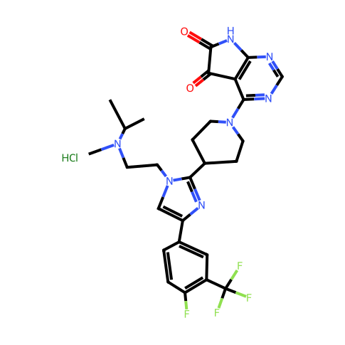 CC(C)N(C)CCn1cc(-c2ccc(F)c(C(F)(F)F)c2)nc1C1CCN(c2ncnc3c2C(=O)C(=O)N3)CC1.Cl